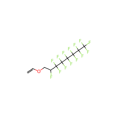 C=COCC(F)C(F)(F)C(F)(F)C(F)(F)C(F)(F)C(F)(F)C(F)(F)F